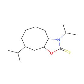 CC(C)C1CCCCC2C(C1)OC(=S)N2C(C)C